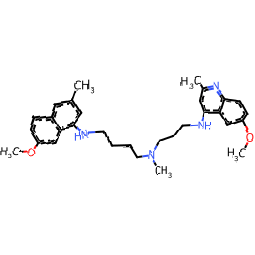 COc1ccc2cc(C)cc(NCCCCN(C)CCCNc3cc(C)nc4ccc(OC)cc34)c2c1